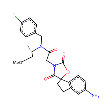 COC[C@H](C)N(Cc1ccc(F)cc1)C(=O)CN1C(=O)OC2(CCc3cc(N)ccc32)C1=O